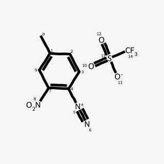 Cc1ccc([N+]#N)c([N+](=O)[O-])c1.O=S(=O)([O-])C(F)(F)F